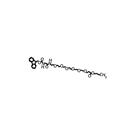 CCCCOC(=O)CCOCCOCCOCCOCCOCCOCCNC(=O)CNC(=O)OCC1c2ccccc2-c2ccccc21